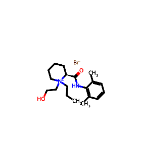 CCC[N+]1(CCO)CCCC[C@H]1C(=O)Nc1c(C)cccc1C.[Br-]